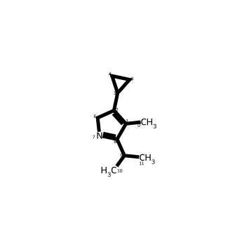 CC1=C(C2CC2)CN=C1C(C)C